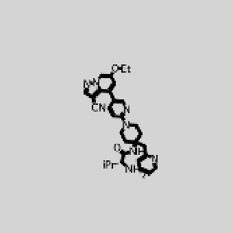 CCOc1cc(-c2ccc(N3CCC(Cc4ccccn4)(NC(=O)[C@H](N)C(C)C)CC3)nc2)c2c(C#N)cnn2c1